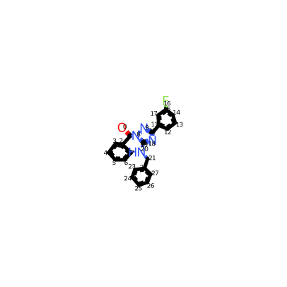 O=C(c1ccccc1)n1nc(-c2cccc(F)c2)nc1NCc1ccccc1